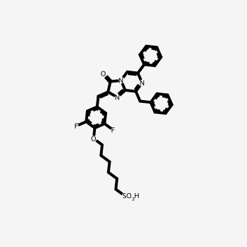 O=C1C(=Cc2cc(F)c(OCCCCCCS(=O)(=O)O)c(F)c2)N=C2C(Cc3ccccc3)=NC(c3ccccc3)=CN12